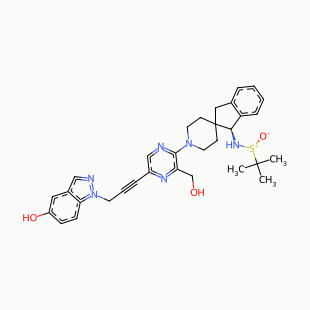 CC(C)(C)[S+]([O-])N[C@@H]1c2ccccc2CC12CCN(c1ncc(C#CCn3ncc4cc(O)ccc43)nc1CO)CC2